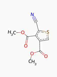 COC(=O)c1csc(C#N)c1C(=O)OC